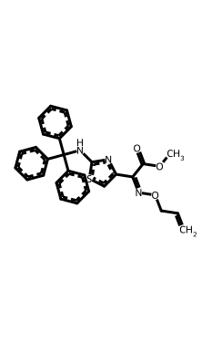 C=CCO/N=C(\C(=O)OC)c1csc(NC(c2ccccc2)(c2ccccc2)c2ccccc2)n1